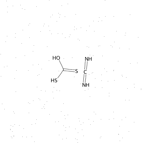 N=C=N.OC(=S)S